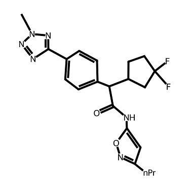 CCCc1cc(NC(=O)C(c2ccc(-c3nnn(C)n3)cc2)C2CCC(F)(F)C2)on1